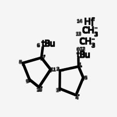 CC(C)(C)[C]1[CH][CH][CH][CH]1.CC(C)(C)[C]1[CH][CH][CH][CH]1.[CH3-].[CH3-].[Hf]